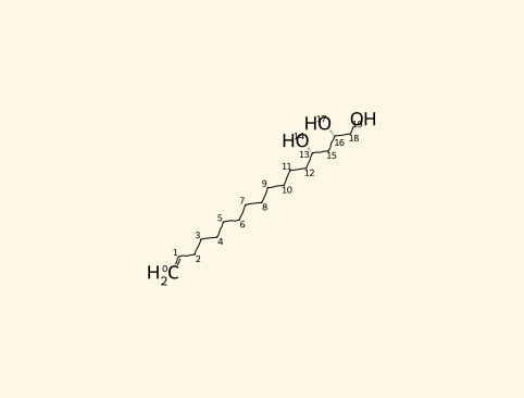 C=CCCCCCCCCCCC[C@H](O)C[C@H](O)CO